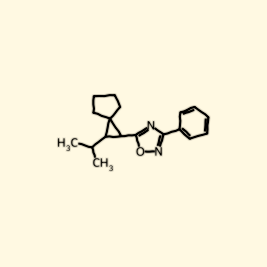 CC(C)C1C(c2nc(-c3ccccc3)no2)C12CCCC2